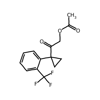 CC(=O)OCC(=O)C1(c2ccccc2C(F)(F)F)CC1